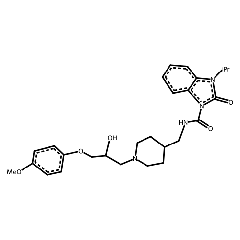 COc1ccc(OCC(O)CN2CCC(CNC(=O)n3c(=O)n(C(C)C)c4ccccc43)CC2)cc1